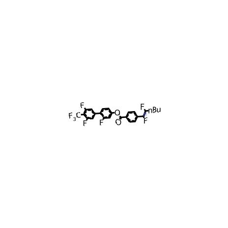 CCCC/C(F)=C(\F)c1ccc(C(=O)Oc2ccc(-c3cc(F)c(C(F)(F)F)c(F)c3)c(F)c2)cc1